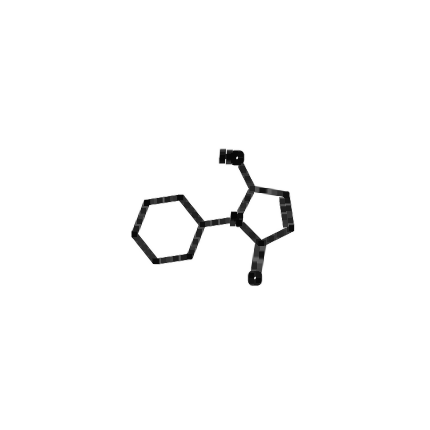 O=C1C=CC(O)N1C1CCCCC1